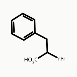 C[CH]CC(Cc1ccccc1)C(=O)O